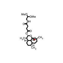 COC(CNC(=O)CCC(=O)O[C@@H]1O[C@@H]2O[C@@]3(C)CC[C@H]4[C@H](C)CC[C@@H]([C@H]1C)[C@@]24OO3)OC